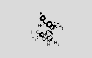 CC1=C(C)C(=O)N(C[C@H]2CN[C@H](C)CN2CC(=O)N2CC(C)(C)c3ccc([C@H](O)c4ccc(F)cc4)cc32)C1